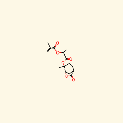 C=C(C)C(=O)OC(C)C(=O)OC1(C)CCC2CC1OC2=O